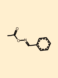 CC(=O)ON=Cc1ccccc1